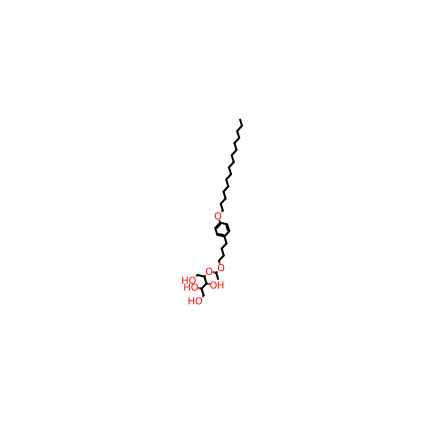 CCCCCCCCCCCCCCCCOc1ccc(CCCCOC(C)OC(CO)C(O)C(O)CO)cc1